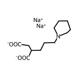 O=C([O-])CC(CCCN1CCCCC1)C(=O)[O-].[Na+].[Na+]